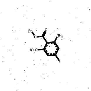 CC(C)OC(=O)c1c(N)cc(I)cc1C(=O)O